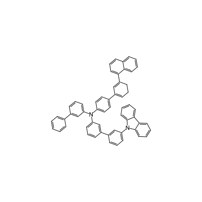 C1=C(c2ccc(N(c3cccc(-c4ccccc4)c3)c3cccc(-c4cccc(-n5c6ccccc6c6ccccc65)c4)c3)cc2)C=C(c2cccc3ccccc23)CC1